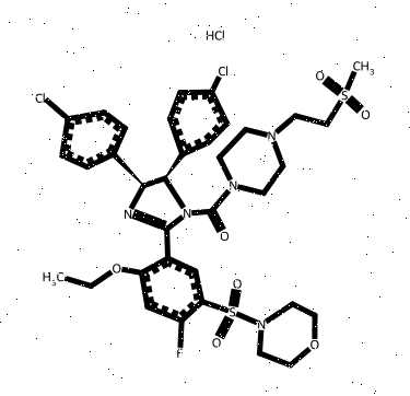 CCOc1cc(F)c(S(=O)(=O)N2CCOCC2)cc1C1=N[C@@H](c2ccc(Cl)cc2)[C@@H](c2ccc(Cl)cc2)N1C(=O)N1CCN(CCS(C)(=O)=O)CC1.Cl